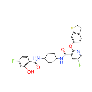 O=C(NC1CCC(NC(=O)c2cc(F)cnc2Oc2ccc3c(c2)SCC3)CC1)c1ccc(F)cc1O